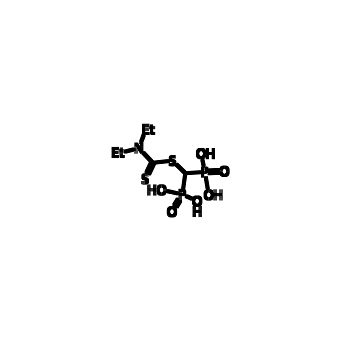 CCN(CC)C(=S)SC(P(=O)(O)O)P(=O)(O)O